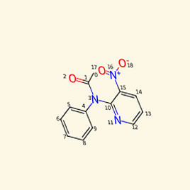 CC(=O)N(c1ccccc1)c1ncccc1[N+](=O)[O-]